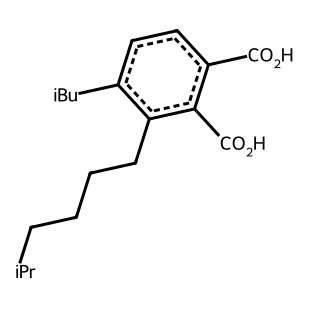 CCC(C)c1ccc(C(=O)O)c(C(=O)O)c1CCCCC(C)C